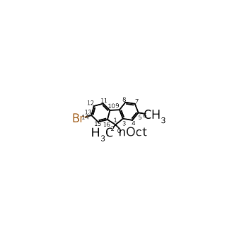 CCCCCCCCC1(C)c2cc(C)ccc2-c2ccc(Br)cc21